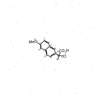 COc1ccc2cc([C@@](C)(Cl)C(=O)O)ccc2c1